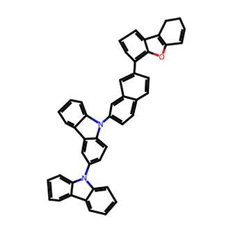 C1=Cc2oc3c(-c4ccc5ccc(-n6c7ccccc7c7cc(-n8c9ccccc9c9ccccc98)ccc76)cc5c4)cccc3c2CC1